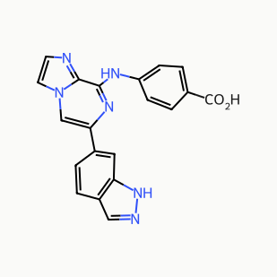 O=C(O)c1ccc(Nc2nc(-c3ccc4cn[nH]c4c3)cn3ccnc23)cc1